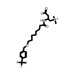 C[N+](C)(C)CC(CC(=O)[O-])NC(=O)CCCCCCCOCc1ccc(C(F)(F)F)cc1